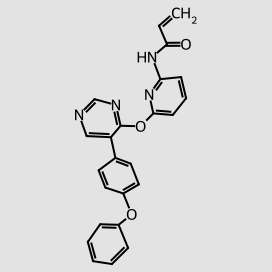 C=CC(=O)Nc1cccc(Oc2ncncc2-c2ccc(Oc3ccccc3)cc2)n1